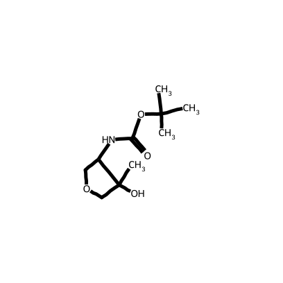 CC(C)(C)OC(=O)NC1COCC1(C)O